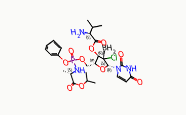 B[C@]1(Cl)[C@H](OC(=O)[C@@H](N)C(C)C)[C@@H](COP(=O)(N[C@@H](C)C(=O)OC(C)C)Oc2ccccc2)O[C@H]1n1ccc(=O)[nH]c1=O